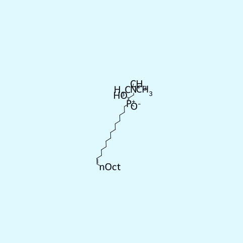 CCCCCCCC/C=C\CCCCCCCCCCCC/[P+]([O-])=C(\O)C[N+](C)(C)C